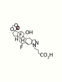 C[C@H]1C[C@H]2[C@@H]3C[C@H](F)C4=Cc5c(cnn5CCCC(=O)O)C[C@]4(C)[C@@]3(F)[C@@H](O)C[C@]2(C)[C@]12OCOC21COCO1